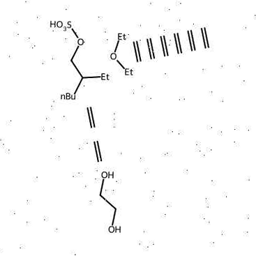 C=C.C=C.C=C.C=C.C=C.C=C.C=C.C=C.CCCCC(CC)COS(=O)(=O)O.CCOCC.OCCO